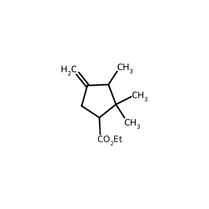 C=C1CC(C(=O)OCC)C(C)(C)C1C